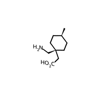 C[C@H]1CC[C@](CN)(CC(=O)O)CC1